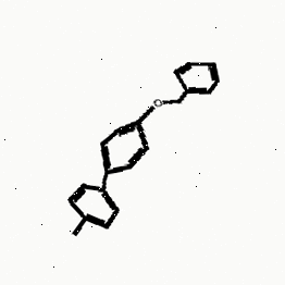 Cc1ccc(-c2ccc(OCc3ccccc3)cc2)cc1